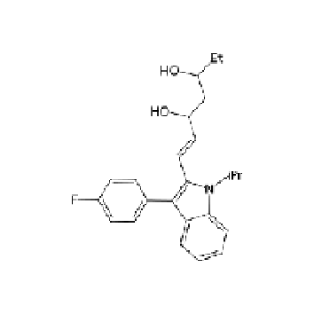 CCC(O)CC(O)/C=C/c1c(-c2ccc(F)cc2)c2ccccc2n1C(C)C